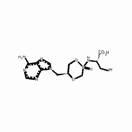 CC(C)C[C@H](NP1(=O)CO[C@@H](Cn2cnc3c(N)ncnc32)CO1)C(=O)O